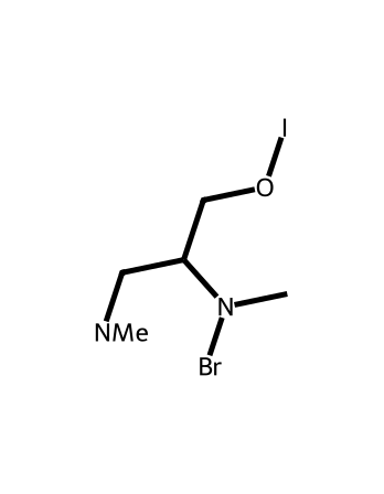 CNCC(COI)N(C)Br